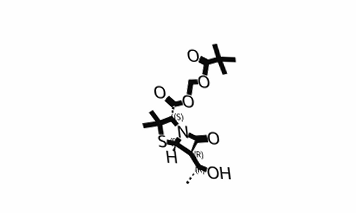 C[C@@H](O)[C@@H]1C(=O)N2[C@@H]1SC(C)(C)[C@@H]2C(=O)OCOC(=O)C(C)(C)C